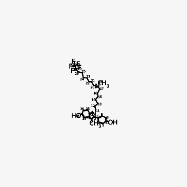 Cc1c(-c2ccc(O)cc2)n(CCCCCCCN(C)CCCCCCCC(F)(F)C(F)(F)F)c2ccc(O)cc12